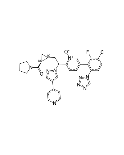 O=C([C@H]1C[C@H]1CC(c1ccc(-c2c(-n3cnnn3)ccc(Cl)c2F)c[n+]1[O-])n1cc(-c2ccncc2)cn1)N1CCCC1